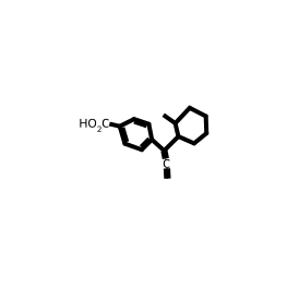 C=C=C(c1ccc(C(=O)O)cc1)C1CCCCC1C